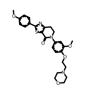 COc1ccc(-c2nc3c(s2)C(=O)N(c2ccc(OCCN4CCOCC4)c(OC)c2)CC3)cc1